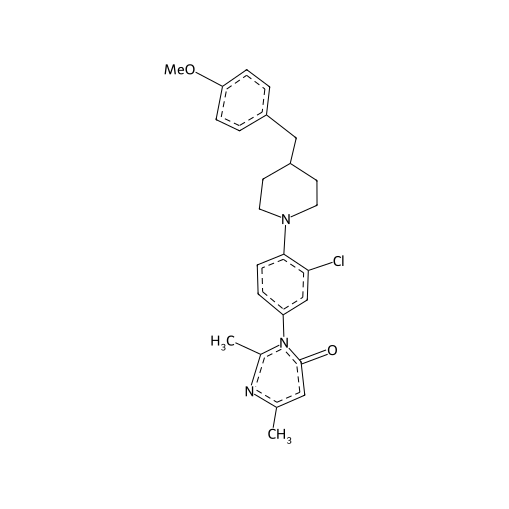 COc1ccc(CC2CCN(c3ccc(-n4c(C)nc(C)cc4=O)cc3Cl)CC2)cc1